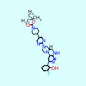 CC(C)(C)OC(=O)N1CCC(c2cnc(N3CCN4c5cc(-c6cccc(F)c6O)nnc5NC[C@H]4C3)nc2)CC1